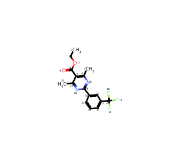 CCOC(=O)c1c(C)nc(-c2cccc(C(F)(F)F)c2)nc1C